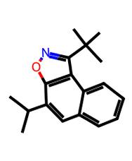 CC(C)c1cc2ccccc2c2c(C(C)(C)C)noc12